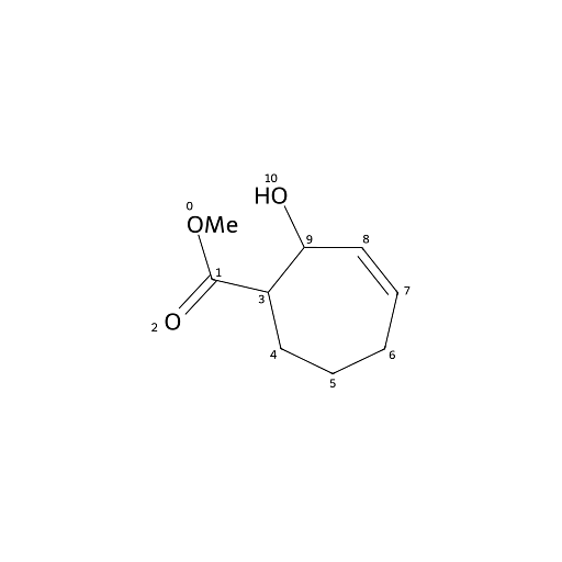 COC(=O)C1CCCC=CC1O